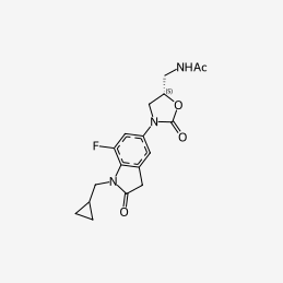 CC(=O)NC[C@H]1CN(c2cc(F)c3c(c2)CC(=O)N3CC2CC2)C(=O)O1